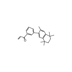 C=CC(=O)c1cccc(-c2cc3c(cc2C)C(C)(C)CCC3(C)C)c1